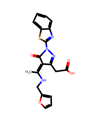 C/C(NCc1ccco1)=C1\C(=O)N(c2nc3ccccc3s2)N=C1CC(=O)O